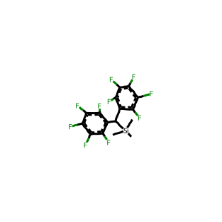 C[Si](C)(C)C(c1c(F)c(F)c(F)c(F)c1F)c1c(F)c(F)c(F)c(F)c1F